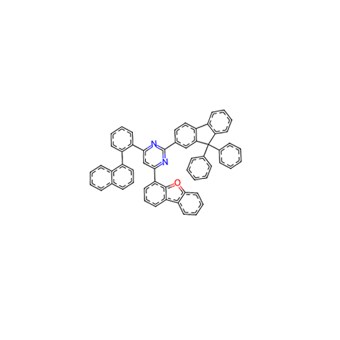 c1ccc(C2(c3ccccc3)c3ccccc3-c3ccc(-c4nc(-c5ccccc5-c5cccc6ccccc56)cc(-c5cccc6c5oc5ccccc56)n4)cc32)cc1